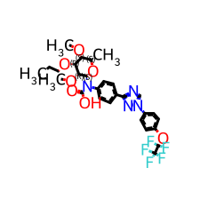 CCCO[C@@H]1[C@@H](OC)[C@H](C)O[C@H](N(C(=O)O)c2ccc(-c3ncn(-c4ccc(OC(F)(F)C(F)(F)F)cc4)n3)cc2)[C@@H]1OC